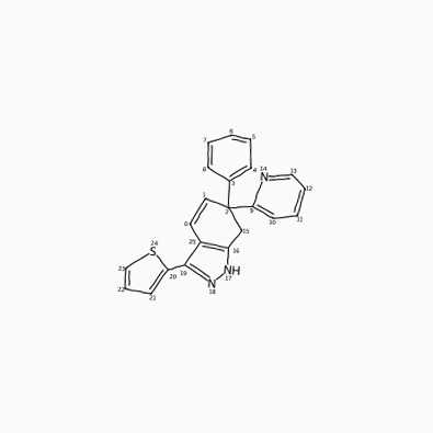 C1=CC(c2ccccc2)(c2ccccn2)Cc2[nH]nc(-c3cccs3)c21